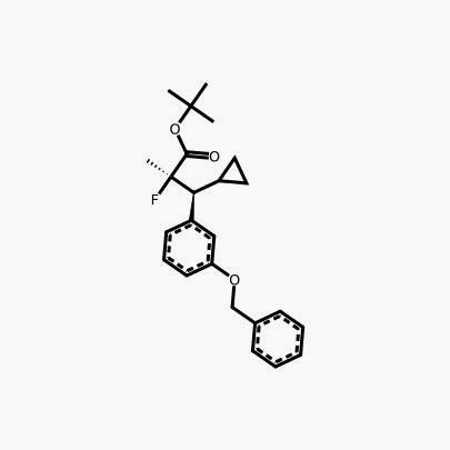 CC(C)(C)OC(=O)[C@](C)(F)[C@H](c1cccc(OCc2ccccc2)c1)C1CC1